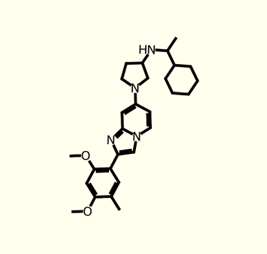 COc1cc(OC)c(-c2cn3ccc(N4CCC(NC(C)C5CCCCC5)C4)cc3n2)cc1C